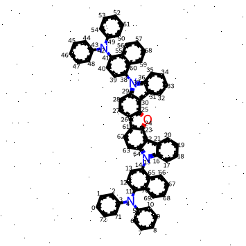 c1ccc(N(c2ccccc2)c2ccc(-n3c4ccccc4c4c5oc6c(ccc7c6c6ccccc6n7-c6ccc(N(c7ccccc7)c7ccccc7)c7ccccc67)c5ccc43)c3ccccc23)cc1